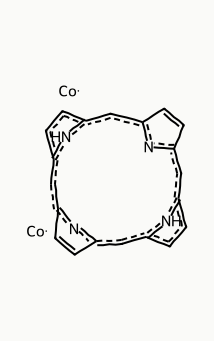 C1=Cc2cc3ccc(cc4nc(cc5ccc(cc1n2)[nH]5)C=C4)[nH]3.[Co].[Co]